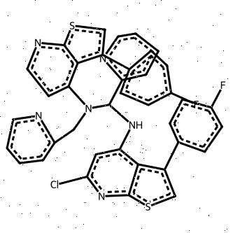 Fc1ccc(-c2csc3nc(Cl)cc(NC(c4ccccn4)N(Cc4ccccn4)c4ccnc5scc(-c6ccc(F)cc6)c45)c23)cc1